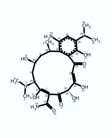 C[C@@H]1C[C@H](O)C[C@H](N(C)C)/C(O)=C(/C(N)=O)C(=O)[C@@H](O)/C(O)=C/C(=O)c2c(O)c(I(C)C)cc(N)c21